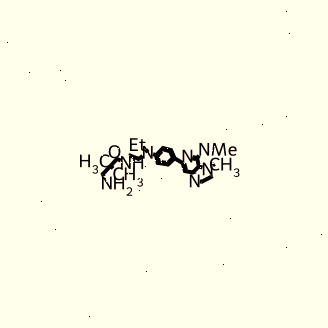 CCN(CCNC(=O)C(C)(C)CN)c1ccc(C2=CC3=NCCN(C)C3C(NC)=N2)cc1